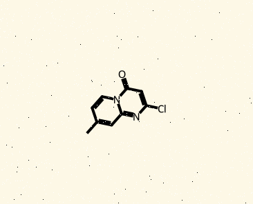 Cc1ccn2c(=O)cc(Cl)nc2c1